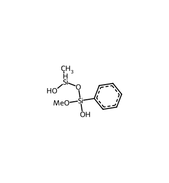 CO[Si](O)(O[SiH](C)O)c1ccccc1